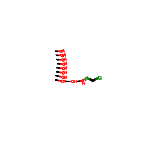 CO.CO.CO.CO.CO.CO.CO.CO.CO.CO.ClCCl